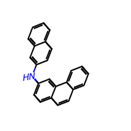 c1ccc2cc(Nc3ccc4ccc5ccccc5c4c3)ccc2c1